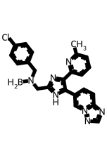 BN(Cc1ccc(Cl)cc1)Cc1nc(-c2cccc(C)n2)c(-c2ccc3ncnn3c2)[nH]1